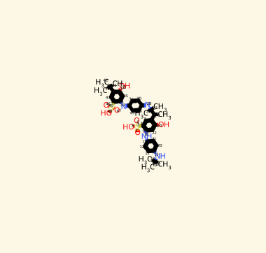 CC(c1cc(S(=O)(=O)O)c(Nc2ccc(NC(C)(C)C)cc2)cc1O)C(C)(C)N=C1C=CC(=Nc2cc(O)c(C(C)(C)C)cc2S(=O)(=O)O)C=C1